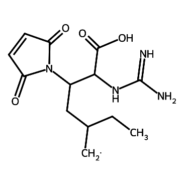 [CH2]C(CC)CC(C(NC(=N)N)C(=O)O)N1C(=O)C=CC1=O